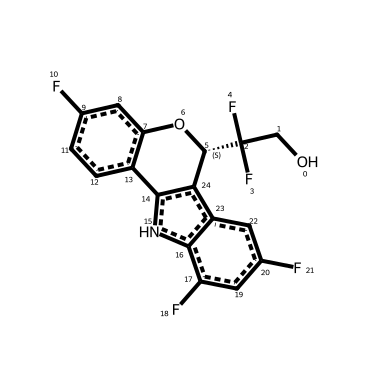 OCC(F)(F)[C@H]1Oc2cc(F)ccc2-c2[nH]c3c(F)cc(F)cc3c21